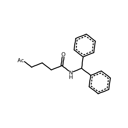 CC(=O)CCCC(=O)NC(c1ccccc1)c1ccccc1